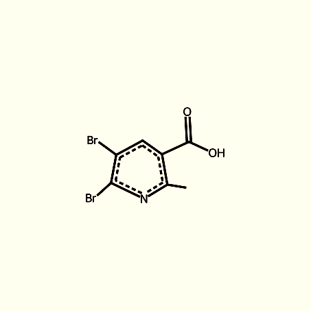 Cc1nc(Br)c(Br)cc1C(=O)O